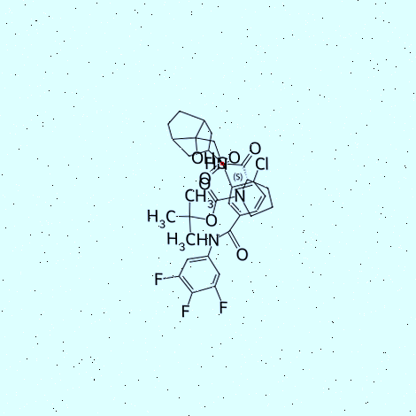 CC(C)(C)OC(=O)N1CCC[C@H]1C(=O)NCC1(O)C2CCC1CC(S(=O)(=O)c1cc(C(=O)Nc3cc(F)c(F)c(F)c3)ccc1Cl)C2